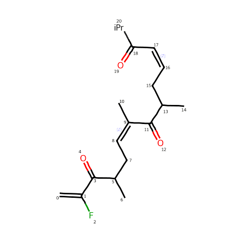 C=C(F)C(=O)C(C)C/C=C(/C)C(=O)C(C)C/C=C\C(=O)C(C)C